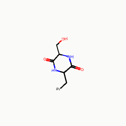 CC(C)CC1NC(=O)C(CO)NC1=O